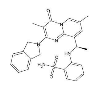 Cc1cc([C@@H](C)Nc2ccccc2S(N)(=O)=O)c2nc(N3Cc4ccccc4C3)c(C)c(=O)n2c1